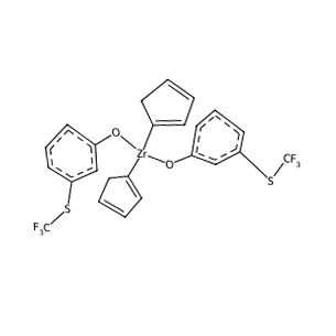 FC(F)(F)Sc1cccc([O][Zr]([O]c2cccc(SC(F)(F)F)c2)([C]2=CC=CC2)[C]2=CC=CC2)c1